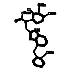 CCCCCC(=O)N(Cc1nc2c(Cc3ccccc3OC)cccc2[nH]1)c1ccc(OC)c(OC)c1Cl